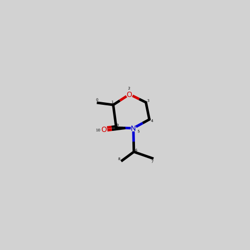 CC1OCCN(C(C)C)C1=O